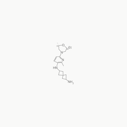 CC[C@@H]1CN(c2ccc(NC3CC4(CC(N)C4)C3)c(C)n2)C[C@H](C)O1